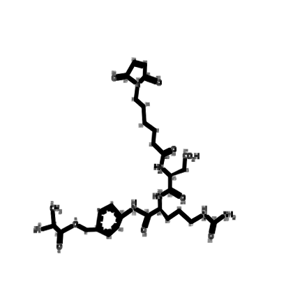 CC(C)C(C)C(=O)OCc1ccc(NC(=O)[C@H](CCCNC(N)=O)NC(=O)[C@H](CC(=O)O)NC(=O)CCCCCN2C(=O)C=CC2=O)cc1